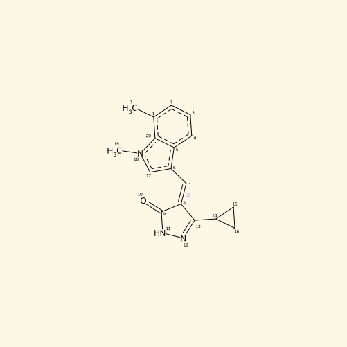 Cc1cccc2c(/C=C3\C(=O)NN=C3C3CC3)cn(C)c12